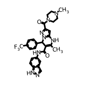 CC1=C(C(=O)Nc2ccc3[nH]ncc3c2)C(c2ccc(C(F)(F)F)cc2)n2nc(C(=O)N3CCN(C)CC3)cc2N1